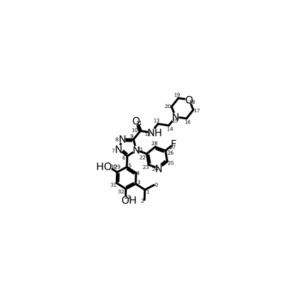 CC(C)c1cc(-c2nnc(C(=O)NCCN3CCOCC3)n2-c2cncc(F)c2)c(O)cc1O